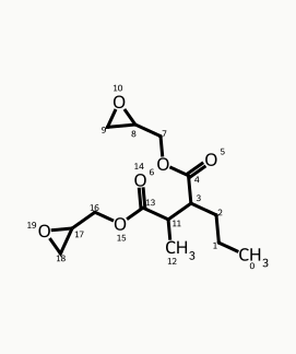 CCCC(C(=O)OCC1CO1)C(C)C(=O)OCC1CO1